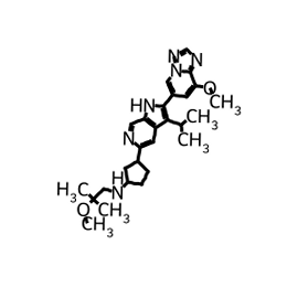 COc1cc(-c2[nH]c3cnc(C4CCC(NCC(C)(C)OC)C4)cc3c2C(C)C)cn2ncnc12